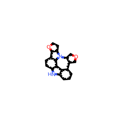 c1cc2[nH]c3ccc4c5occc5n5c6cocc6c(c1)c2c3c45